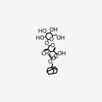 C/C=C1/[C@H](O[C@@H]2O[C@H](CO)[C@@H](O)[C@H](O)[C@H]2O)OC=C(C(=O)O)[C@H]1CC(=O)OCC12CC3CC(CC(C3)C1)C2